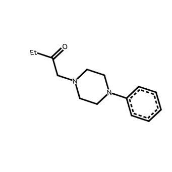 CCC(=O)CN1CCN(c2ccccc2)CC1